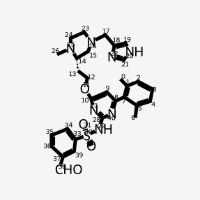 Cc1cccc(C)c1-c1cc(OCC[C@H]2CN(Cc3c[nH]cn3)CCN2C)nc(NS(=O)(=O)c2cccc(C=O)c2)n1